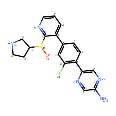 Nc1cnc(-c2ccc(-c3cccnc3[S+]([O-])C3CCNC3)cc2F)cn1